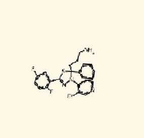 CCc1cnccc1N1N=C(c2cc(F)ccc2F)SC1(CCCN)c1ccccc1